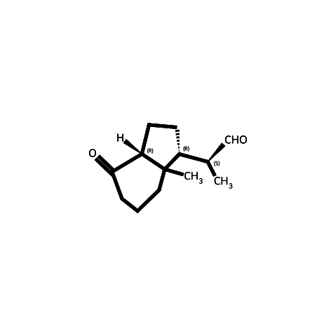 C[C@H](C=O)[C@H]1CC[C@H]2C(=O)CCCC12C